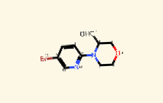 O=CC1COCCN1c1ccc(Br)cn1